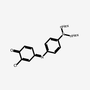 CCCCCCN(CCCCCC)c1ccc(N=C2C=CC(=O)C(Cl)=C2)cc1